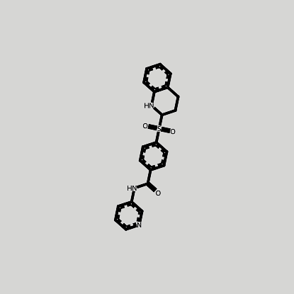 O=C(Nc1cccnc1)c1ccc(S(=O)(=O)C2CCc3ccccc3N2)cc1